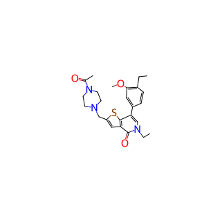 CCc1ccc(-c2cn(CC)c(=O)c3cc(CN4CCN(C(C)=O)CC4)sc23)cc1OC